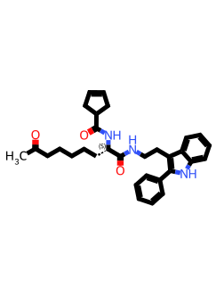 CC(=O)CCCCC[C@H](NC(=O)C1CC=CC1)C(=O)NCCc1c(-c2ccccc2)[nH]c2ccccc12